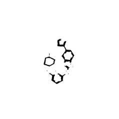 O[C@H]1CC[C@H](Nc2cccc(Nc3nc4ccc(-c5ccoc5)cc4s3)n2)CC1